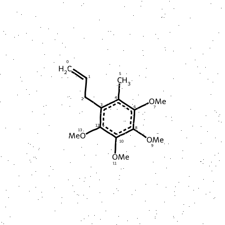 C=CCc1c(C)c(OC)c(OC)c(OC)c1OC